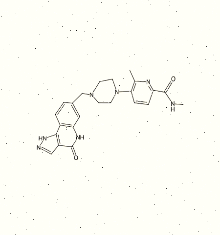 CNC(=O)c1ccc(N2CCN(Cc3ccc4c(c3)[nH]c(=O)c3cn[nH]c34)CC2)c(C)n1